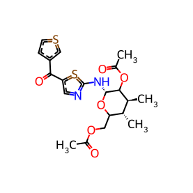 CC(=O)OCC1O[C@H](Nc2ncc(C(=O)c3ccsc3)s2)C(OC(C)=O)[C@@H](C)[C@@H]1C